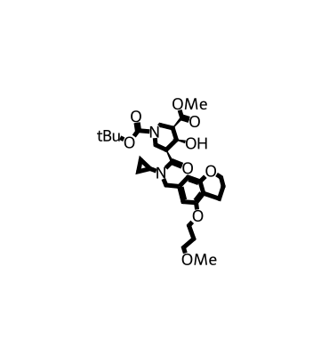 COCCCOc1cc(CN(C(=O)[C@H]2CN(C(=O)OC(C)(C)C)C[C@@H](C(=O)OC)[C@H]2O)C2CC2)cc2c1CCCO2